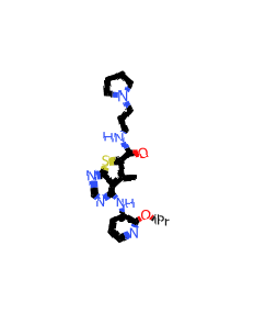 Cc1c(C(=O)NCCCN2CCCC2)sc2ncnc(Nc3cccnc3OC(C)C)c12